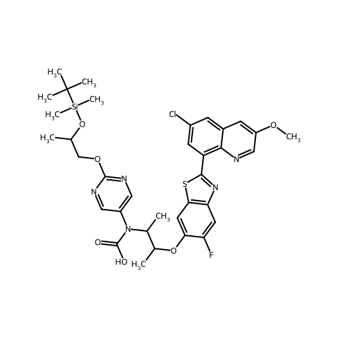 COc1cnc2c(-c3nc4cc(F)c(OC(C)C(C)N(C(=O)O)c5cnc(OCC(C)O[Si](C)(C)C(C)(C)C)nc5)cc4s3)cc(Cl)cc2c1